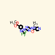 COC(=O)c1ccc2c(c1)nc(C(F)(F)F)n2-c1cnc(NC(=O)c2ccncc2C)cn1